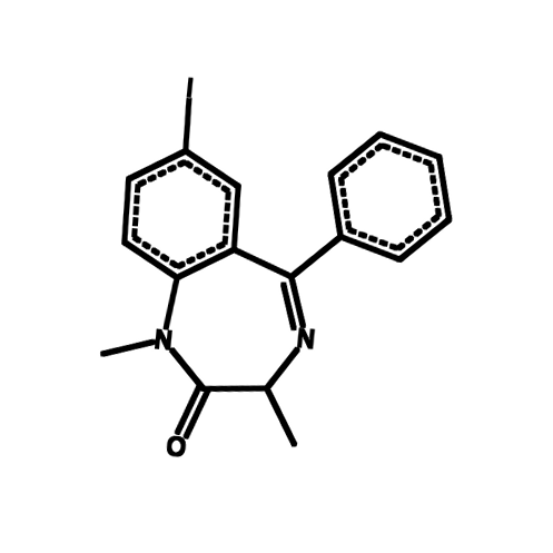 CC1N=C(c2ccccc2)c2cc(I)ccc2N(C)C1=O